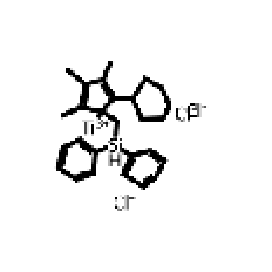 CC1=C(C)[C]([Ti+3])(C[SiH](c2ccccc2)c2ccccc2)C(C2CCCCC2)=C1C.[Cl-].[Cl-].[Cl-]